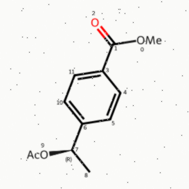 COC(=O)c1ccc([C@@H](C)OC(C)=O)cc1